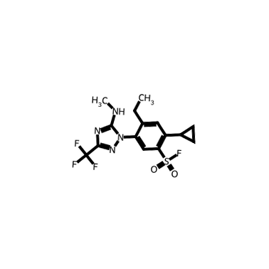 CCc1cc(C2CC2)c(S(=O)(=O)F)cc1-n1nc(C(F)(F)F)nc1NC